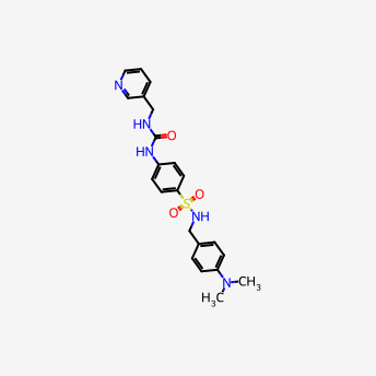 CN(C)c1ccc(CNS(=O)(=O)c2ccc(NC(=O)NCc3cccnc3)cc2)cc1